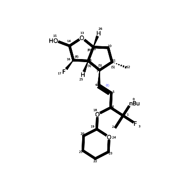 CCCCC(C)(F)C(/C=C/[C@H]1[C@H]2[C@@H](C[C@@H]1C)OC(O)[C@@H]2F)OC1CCCCO1